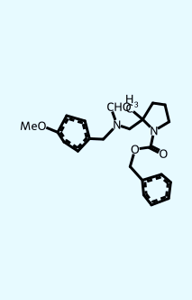 COc1ccc(CN(C=O)CC2(C)CCCN2C(=O)OCc2ccccc2)cc1